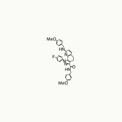 COc1ccc(CNC(=O)c2nn(-c3ccc(F)cc3)c3c2CCc2ccc(NCc4ccc(OC)cc4)nc2-3)cc1